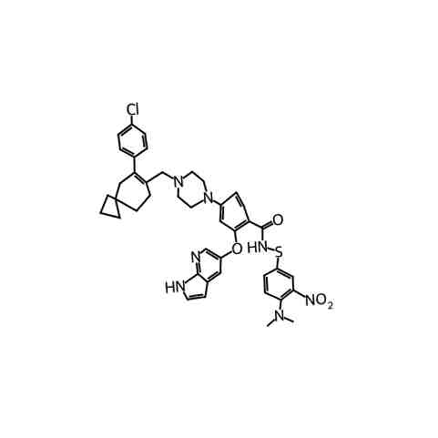 CN(C)c1ccc(SNC(=O)c2ccc(N3CCN(CC4=C(c5ccc(Cl)cc5)CC5(CCC5)CC4)CC3)cc2Oc2cnc3[nH]ccc3c2)cc1[N+](=O)[O-]